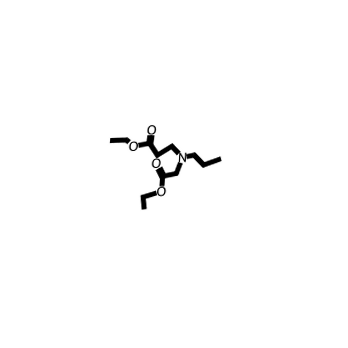 CCCN(CCC(=O)OCC)CC(=O)OCC